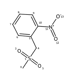 CS(=O)(=O)Cc1ccccc1[N+](=O)[O-]